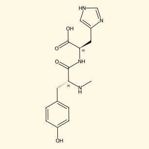 CN[C@H](Cc1ccc(O)cc1)C(=O)N[C@H](Cc1c[nH]cn1)C(=O)O